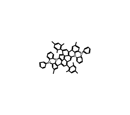 Cc1cc(C)c(-c2cc3c4c(cc5c(-c6c(C)cc(C)cc6C)cc6c7c(cc2c4c57)B2c4ccccc4N(c4ccccc4)c4cc(C)cc-6c42)B2c4ccccc4N(c4ccccc4)c4cc(C)cc-3c42)c(C)c1